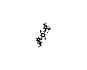 O=C(NC1CCC(Nc2cccc3nc(C(F)F)cn23)CC1)c1cn(C(F)F)nc1C(F)F